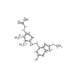 CCc1nc2c(COc3ccc(CCC(=O)O)c(C)c3C)cc(F)cc2s1